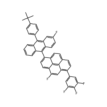 CC(C)(C)c1ccc(-c2c3ccccc3c(-c3ccc4c(F)cc5c(-c6cc(F)c(F)c(F)c6)ccc6ccc3c4c65)c3ccc(F)cc23)cc1